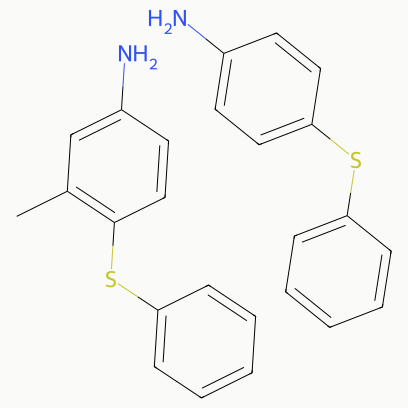 Cc1cc(N)ccc1Sc1ccccc1.Nc1ccc(Sc2ccccc2)cc1